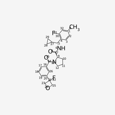 Cc1ccc([C@H](NC(=O)[C@H]2CCCN2C(=O)c2cccc(C3(F)COC3)c2)C2CC2)c(F)c1